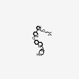 CS(C)(C)CCOCn1nccc1-c1ccc(Oc2ccc3nc(CN4C5CCC4CNC5)ccc3c2)nc1